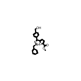 COC(=O)c1ccc(/C(=N\NCc2ccccc2)c2ccc(CO)cc2)o1